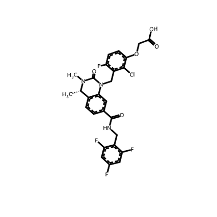 C[C@H]1c2ccc(C(=O)NCc3c(F)cc(F)cc3F)cc2N(Cc2c(F)ccc(OCC(=O)O)c2Cl)C(=O)N1C